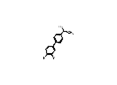 CC(O)c1ccc(-c2ccc(F)c(F)c2)cc1